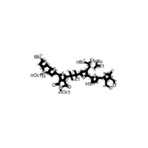 CCCCCCCCN1C(=O)c2c(-c3cc4c(s3)-c3sc(C(C)(C)C)cc3[SiH]4CCCCCCCC)sc(C(C)(C)C(C)(CC)c3cc([C@@H](CC(CC)CCCC)C(CC)CCCC)c(-c4sc(-c5sc(C)c6c5COOC6)cc4S)s3)c2C1=O